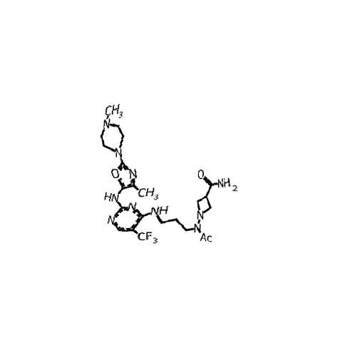 CC(=O)N(CCCNc1nc(Nc2oc(N3CCN(C)CC3)nc2C)ncc1C(F)(F)F)N1CC(C(N)=O)C1